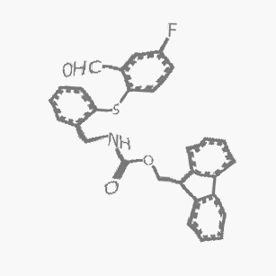 O=Cc1cc(F)ccc1Sc1ccccc1CNC(=O)OCC1c2ccccc2-c2ccccc21